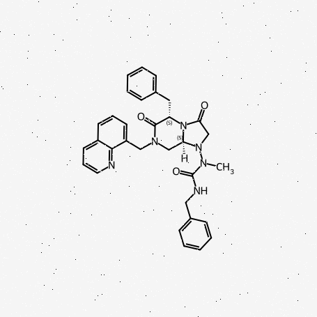 CN(C(=O)NCc1ccccc1)N1CC(=O)N2[C@@H](Cc3ccccc3)C(=O)N(Cc3cccc4cccnc34)C[C@@H]21